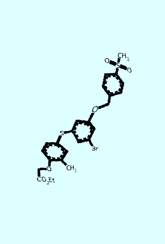 CCOC(=O)COc1ccc(Sc2cc(Br)cc(OCc3ccc(S(C)(=O)=O)cc3)c2)cc1C